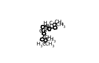 CC1(C)CC(C)(C)c2c(-c3ccc4c(c3)Oc3cccc5c3B4c3ccc(-c4cccc6c4C(C)(C)CC6(C)C)cc3O5)cccc21